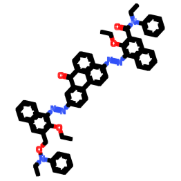 CCOc1c(CON(CC)c2ccccc2)cc2ccccc2c1N=Nc1ccc2c(c1)C(=O)c1cccc3c(N=Nc4c(OCC)c(C(=O)N(CC)c5ccccc5)cc5ccccc45)ccc-2c13